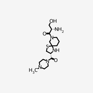 CN1CCN(C(=O)[C@@H]2CSC3(CCCN(C(=O)[C@@H](N)CO)C3)N2)CC1